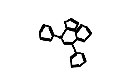 C(=C(c1ccccc1)c1ccccc1)N(c1ccccc1)c1cccs1